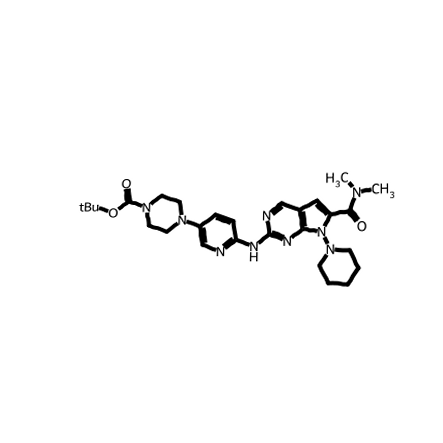 CN(C)C(=O)c1cc2cnc(Nc3ccc(N4CCN(C(=O)OC(C)(C)C)CC4)cn3)nc2n1N1CCCCC1